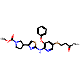 COC(=O)CCSc1cnc(Nc2nc(C3CCN(C(=O)OC(C)(C)C)C3)cs2)c(Oc2ccccc2)c1